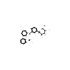 Cc1ccc([C@@]2(O)O[C@H](CO)[C@@H](O)[C@H](O)[C@H]2O)cc1CO[Si](c1ccccc1)(c1ccccc1)C(C)(C)C